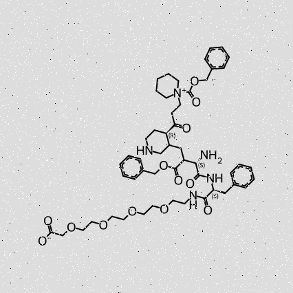 N[C@H](C(=O)N[C@@H](Cc1ccccc1)C(=O)NCCOCCOCCOCCOCC(=O)[O-])C(CC1CNCC[C@H]1C(=O)CC[N+]1(C(=O)OCc2ccccc2)CCCCC1)C(=O)OCc1ccccc1